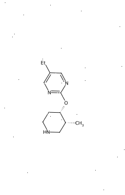 CCc1cnc(O[C@H]2CCNC[C@H]2C)nc1